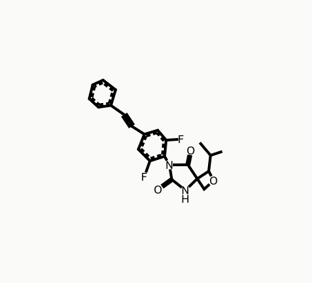 CC(C)C1OCC12NC(=O)N(c1c(F)cc(C#Cc3ccccc3)cc1F)C2=O